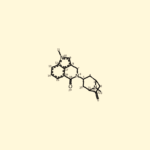 C=C1CC2CC(N3Cc4cn(C)c5cccc(c45)C3=O)CC1N2C